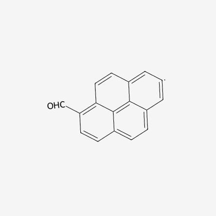 O=Cc1ccc2ccc3c[c]cc4ccc1c2c34